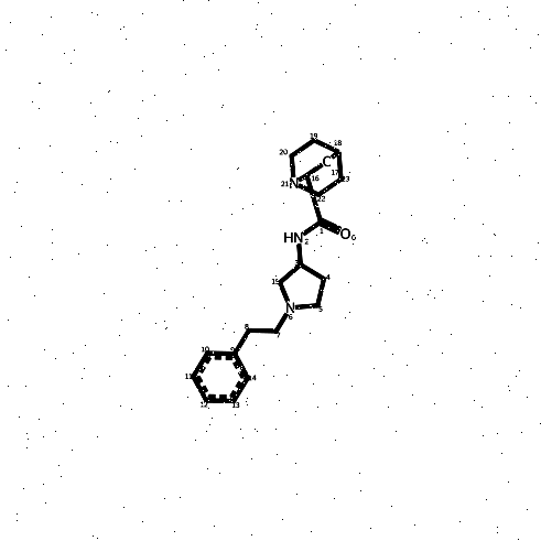 O=C(NC1CCN(CCc2ccccc2)C1)C1CC2CCN1CC2